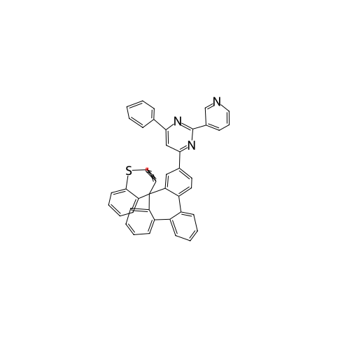 c1ccc(-c2cc(-c3ccc4c(c3)C3(c5ccccc5Sc5ccccc53)c3ccccc3-c3ccccc3-4)nc(-c3cccnc3)n2)cc1